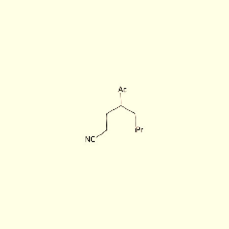 CC(=O)C(CCC#N)CC(C)C